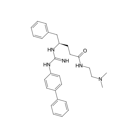 CN(C)CCNC(=O)CC[C@H](Cc1ccccc1)NC(=N)Nc1ccc(-c2ccccc2)cc1